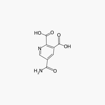 NC(=O)c1cnc(C(=O)O)c(C(=O)O)c1